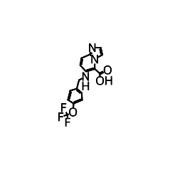 O=C(O)c1c(NCc2ccc(OC(F)(F)F)cc2)ccc2nccn12